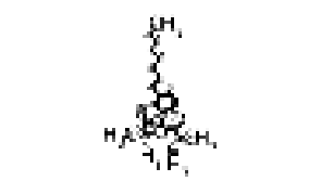 CCCCCCCCc1ccc(OC(=O)C(C)C)c(OC(=O)C(C)C)c1